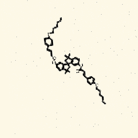 CCCCCCOc1ccc(/C=C/COOc2ccc3c(c2)C2(CC3(C)C)CC(C)(C)c3ccc(OC(=O)/C=C/c4ccc(OCCCCCC)cc4)cc32)cc1